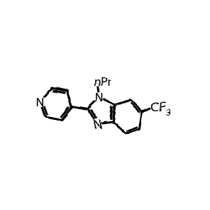 CCCn1c(-c2ccncc2)nc2ccc(C(F)(F)F)cc21